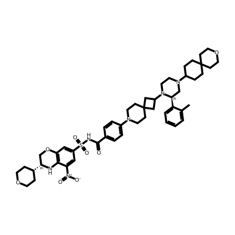 Cc1ccccc1[C@@H]1CN(C2CCC3(CCOCC3)CC2)CCN1C1CC2(CCN(c3ccc(C(=O)NS(=O)(=O)c4cc5c(c([N+](=O)[O-])c4)N[C@H](C4CCOCC4)CO5)cc3)CC2)C1